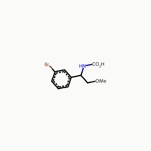 COCC(NC(=O)O)c1cccc(Br)c1